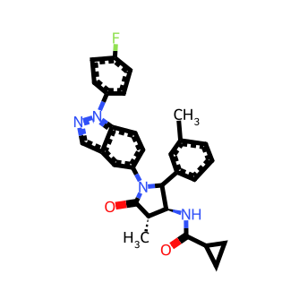 Cc1cccc(C2[C@@H](NC(=O)C3CC3)[C@H](C)C(=O)N2c2ccc3c(cnn3-c3ccc(F)cc3)c2)c1